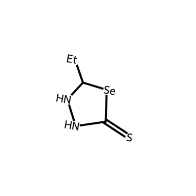 CCC1NNC(=S)[Se]1